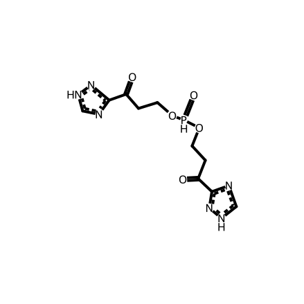 O=C(CCO[PH](=O)OCCC(=O)c1nc[nH]n1)c1nc[nH]n1